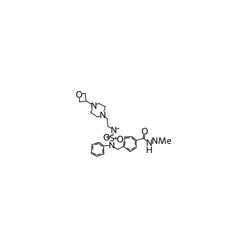 CNNC(=O)c1ccc(CN(c2ccccc2)S(=O)(=O)N(C)CCN2CCN(C3COC3)CC2)cc1